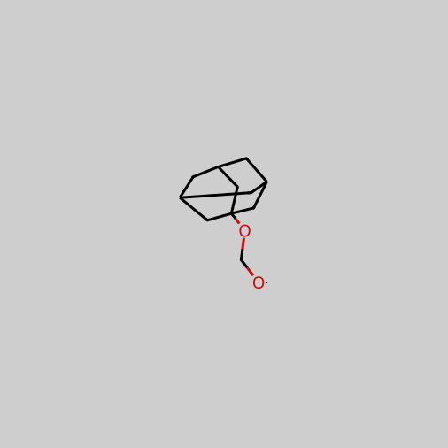 [O]COC12CC3CC(CC(C3)C1)C2